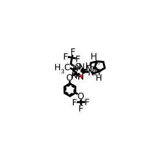 Cc1nnc(N2C[C@H]3CC[C@@H](C2)[C@H]3Nc2nc(Oc3cccc(OC(F)(F)F)c3)n(CC(F)(F)F)n2)o1